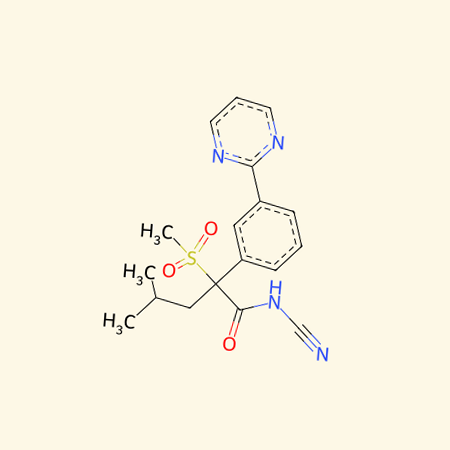 CC(C)CC(C(=O)NC#N)(c1cccc(-c2ncccn2)c1)S(C)(=O)=O